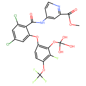 COC(=O)c1cc(NC(=O)c2c(Cl)cc(Cl)cc2Oc2ccc(OC(F)(F)F)c(F)c2OC(O)(O)O)ccn1